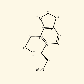 CNC[C@H]1OCCc2c1ccc1c2OCC1